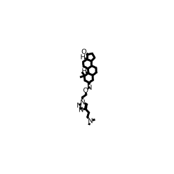 CN(C)CCc1cn(CCON=C2CC3CCC4C(CC[C@@H]5C(=O)CCC45)[C@H]3C(C)(C)C2)nn1